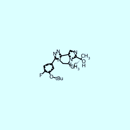 C[C@H]1Cn2c(-c3ccc(F)c(OC(C)(C)C)c3)nnc2-c2cnc([C@@](C)(O)C(F)(F)F)n21